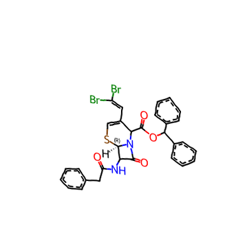 O=C(Cc1ccccc1)NC1C(=O)N2C(C(=O)OC(c3ccccc3)c3ccccc3)C(C=C(Br)Br)=CS[C@H]12